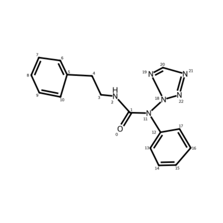 O=C(NCCc1ccccc1)N(c1ccccc1)n1ncnn1